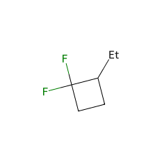 [CH2]CC1CCC1(F)F